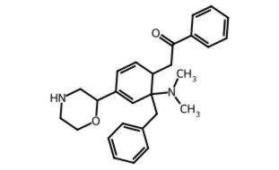 CN(C)C1(Cc2ccccc2)C=C(C2CNCCO2)C=CC1CC(=O)c1ccccc1